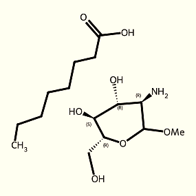 CCCCCCCC(=O)O.COC1O[C@H](CO)[C@@H](O)[C@H](O)[C@H]1N